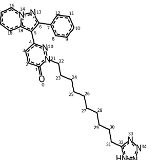 O=c1ccc(-c2c(-c3ccccc3)nn3ccccc23)nn1CCCCCCCCCCc1nnn[nH]1